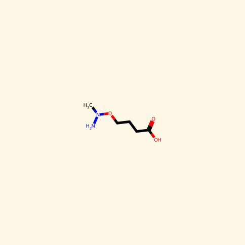 CN(N)OCCCC(=O)O